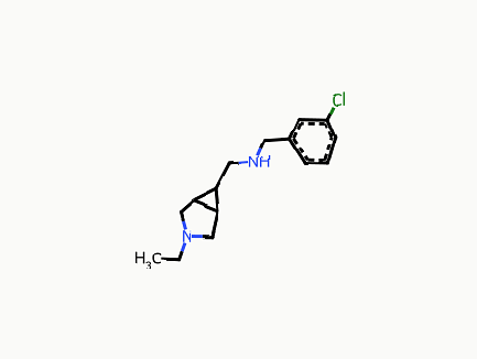 CCN1CC2C(CNCc3cccc(Cl)c3)C2C1